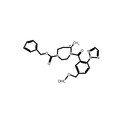 C[C@@H]1CCN(C(=O)OCc2ccccc2)CCN1C(=O)c1cc(COC=O)ccc1-n1nccn1